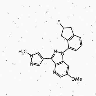 COc1cnc2c(-c3cnn(C)c3)nn(-c3cccc4c3CC(F)C4)c2c1